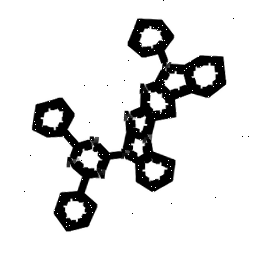 c1ccc(-c2nc(-c3ccccc3)nc(-n3c4ccccc4n4c5cc6c7ccccc7n(-c7ccccc7)c6nc5nc34)n2)cc1